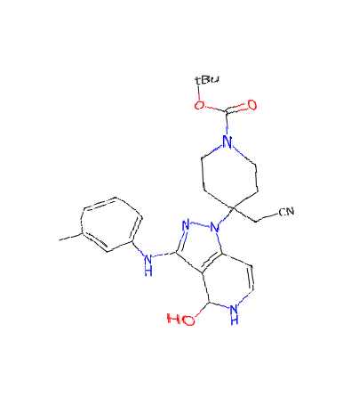 Cc1cccc(Nc2nn(C3(CC#N)CCN(C(=O)OC(C)(C)C)CC3)c3c2C(O)NC=C3)c1